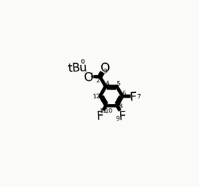 CC(C)(C)OC(=O)c1cc(F)c(F)c(F)c1